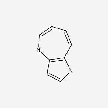 C1=C[N]c2ccsc2C=C1